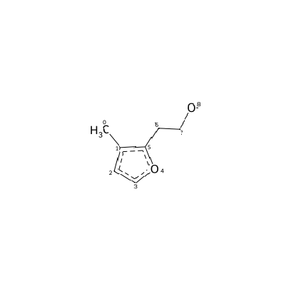 Cc1ccoc1CC[O]